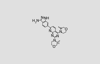 C[C@H]1COCCN1c1nc(N2CCOC[C@@H]2C)c2ccc(-c3ccc4c(N)n[nH]c4c3)nc2n1